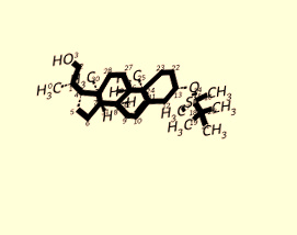 C[C@H](CO)[C@H]1CC[C@H]2[C@@H]3CC=C4C[C@@H](O[Si](C)(C)C(C)(C)C)CC[C@]4(C)[C@H]3CC[C@]12C